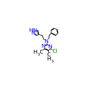 Cc1nc(N(CCc2ccccc2)CCc2cn[nH]c2)nc(Cl)c1C